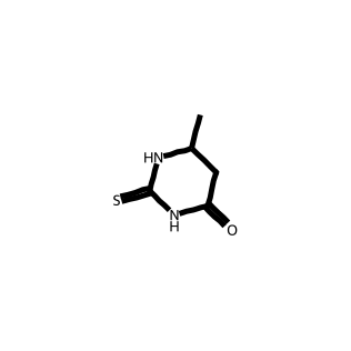 CC1CC(=O)NC(=S)N1